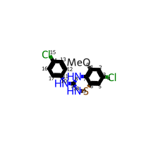 COc1cc(Cl)cc2c1NC(Nc1ccc(Cl)cc1)NS2